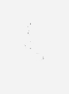 CC#Cc1ncc(-c2cnc(C)s2)s1